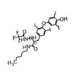 [CH2]CCCCNC(=O)[C@H](Cc1cc(I)c(Oc2cc(I)c(O)c(I)c2)c(I)c1)NNC(=O)C(F)(F)F